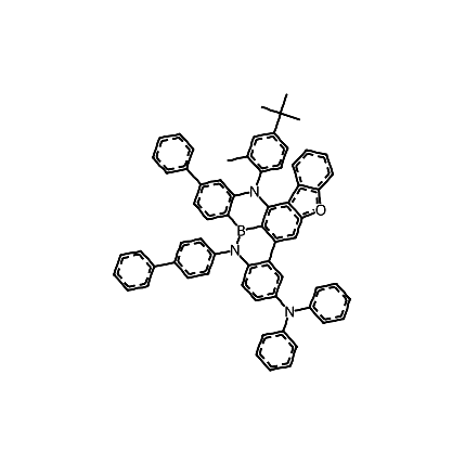 Cc1cc(C(C)(C)C)ccc1N1c2cc(-c3ccccc3)ccc2B2c3c(cc4oc5ccccc5c4c31)-c1cc(N(c3ccccc3)c3ccccc3)ccc1N2c1ccc(-c2ccccc2)cc1